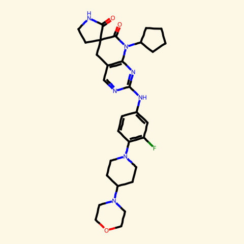 O=C1NCCC12Cc1cnc(Nc3ccc(N4CCC(N5CCOCC5)CC4)c(F)c3)nc1N(C1CCCC1)C2=O